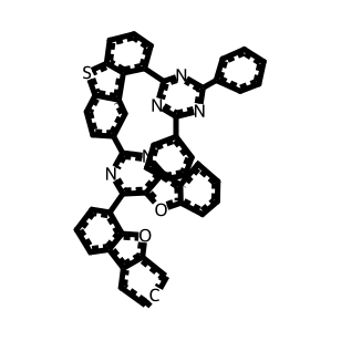 c1ccc(-c2nc(-c3ccccc3)nc(-c3cccc4sc5ccc(-c6nc(-c7cccc8c7oc7ccccc78)c7oc8ccccc8c7n6)cc5c34)n2)cc1